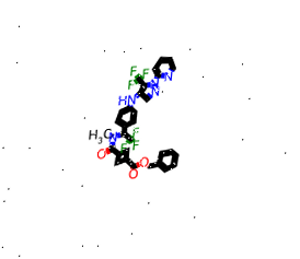 CN(C(=O)C1CC(C(=O)OCc2ccccc2)C1)C(c1ccc(Nc2cnn(-c3ccccn3)c2C(F)(F)F)cc1)C(F)(F)F